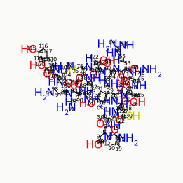 CC[C@H](C)[C@H](NC(=O)[C@@H]1C[C@@H](O)CN1C(=O)[C@@H](N)C(C)C)C(=O)N[C@H](C(=O)N[C@@H](Cc1ccc(O)cc1)C(=O)N[C@H](C(=O)N[C@@H](CC(N)=O)C(=O)N[C@@H](CCCNC(=N)N)C(=O)N[C@@H](CCN)C(=O)N[C@H](C(=O)N[C@H](CCN)C(=O)N[C@@H](CCCN)C(=O)N[C@@H](CCN)C(=O)N[C@@H](CCN)C(=O)N[C@@H](CS)C(=O)N[C@@H](Cc1ccc(O)cc1)C(=O)O)[C@@H](C)O)[C@@H](C)O)C(C)(C)S